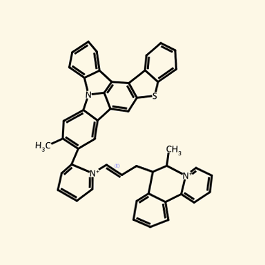 Cc1cc2c(cc1-c1cccc[n+]1/C=C/CC1c3ccccc3-c3cccc[n+]3C1C)c1cc3sc4ccccc4c3c3c4ccccc4n2c13